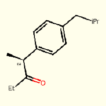 CCC(=O)[C@@H](C)c1ccc(CC(C)C)cc1